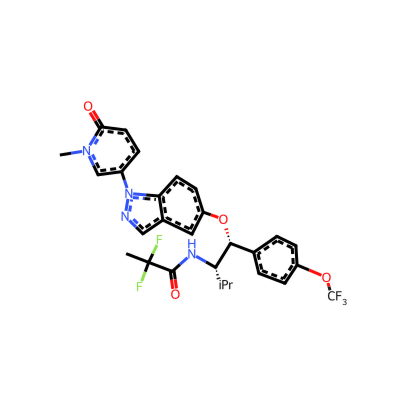 CC(C)[C@H](NC(=O)C(C)(F)F)[C@H](Oc1ccc2c(cnn2-c2ccc(=O)n(C)c2)c1)c1ccc(OC(F)(F)F)cc1